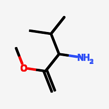 C=C(OC)C(N)C(C)C